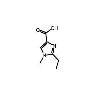 CCc1nc(C(=O)O)cn1C